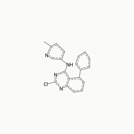 Cc1ccc(Nc2nc(Cl)nc3cccc(-c4ccccc4)c23)cn1